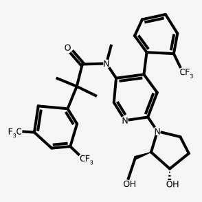 CN(C(=O)C(C)(C)c1cc(C(F)(F)F)cc(C(F)(F)F)c1)c1cnc(N2CC[C@H](O)[C@H]2CO)cc1-c1ccccc1C(F)(F)F